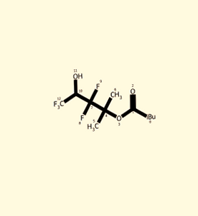 CCC(C)C(=O)OC(C)(C)C(F)(F)C(O)C(F)(F)F